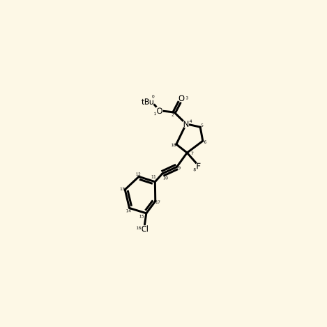 CC(C)(C)OC(=O)N1CCC(F)(C#Cc2cccc(Cl)c2)C1